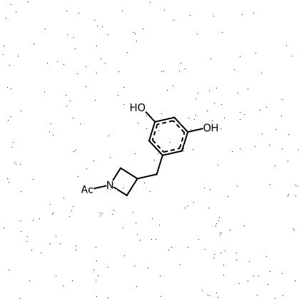 CC(=O)N1CC(Cc2cc(O)cc(O)c2)C1